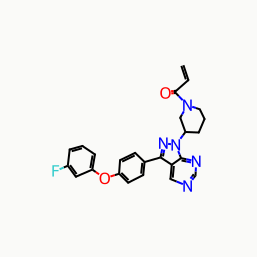 C=CC(=O)N1CCCC(n2nc(-c3ccc(Oc4cccc(F)c4)cc3)c3cncnc32)C1